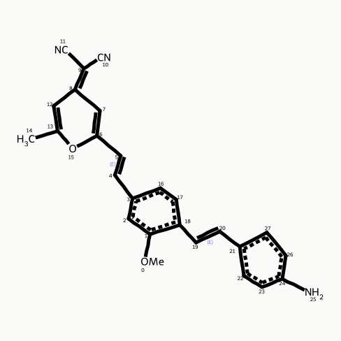 COc1cc(/C=C/C2=CC(=C(C#N)C#N)C=C(C)O2)ccc1/C=C/c1ccc(N)cc1